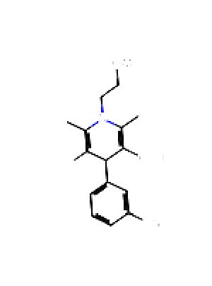 COCCN1C(C)=C(C(=O)O)C(c2cccc(C#N)c2)C(C(=O)O)=C1C